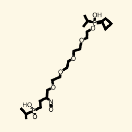 CC(C)P(=O)(O)CCC(COCCOCCOCCOCCOP(O)(=C1CCC1)C(C)C)N=O